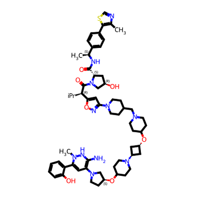 Cc1ncsc1-c1ccc([C@H](C)NC(=O)[C@@H]2C[C@@H](O)CN2C(=O)[C@@H](c2cc(N3CCC(CN4CCC(O[C@H]5C[C@H](N6CCC(O[C@H]7CCN(C8=C(N)NN(C)C(c9ccccc9O)=C8)C7)CC6)C5)CC4)CC3)no2)C(C)C)cc1